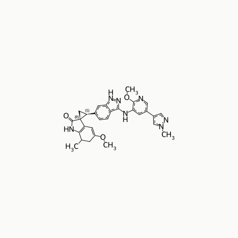 COC1=CC2=C(NC(=O)[C@@]23C[C@H]3c2ccc3c(Nc4cc(-c5cnn(C)c5)cnc4OC)n[nH]c3c2)C(C)C1